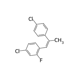 C/C(=C/c1ccc(Cl)cc1F)c1ccc(Cl)cc1